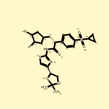 CC1(C)OC[C@H](c2csc(NC(=O)[C@H](CC3CC(F)C(F)C3)c3ccc(S(=O)(=O)C4CC4)cc3)n2)O1